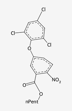 CCCCCOC(=O)c1cc(Oc2c(Cl)cc(Cl)cc2Cl)ccc1[N+](=O)[O-]